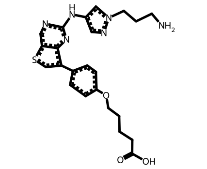 NCCCn1cc(Nc2ncc3scc(-c4ccc(OCCCCC(=O)O)cc4)c3n2)cn1